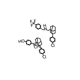 CN(c1ccc(O)cc1)C12CC3CC(CC(c4ccc(Cl)cc4)(C3)C1)C2.FC(F)(F)c1ccc(CNCC23CC4CC(C2)CC(c2ccc(Cl)cc2)(C4)C3)cc1